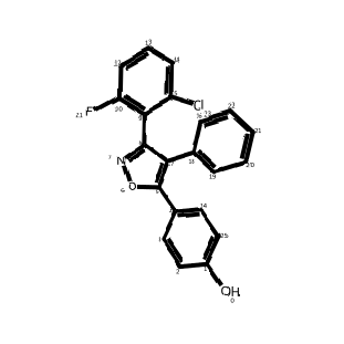 Oc1ccc(-c2onc(-c3c(F)cccc3Cl)c2-c2ccccc2)cc1